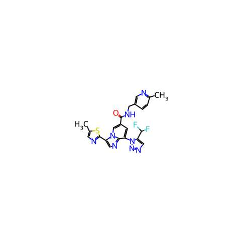 Cc1ccc(CNC(=O)c2cc(-n3nncc3C(F)F)c3ncc(-c4ncc(C)s4)n3c2)cn1